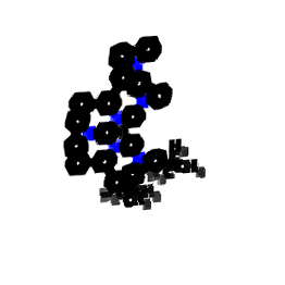 CC(C)(C)c1ccc2c(c1)c1cc(C(C)(C)C)ccc1n2-c1ccc2c(c1)N(c1cc(-c3ccccc3)cc(-c3ccccc3)c1)c1cc(-n3c4ccccc4c4ccccc43)cc3c1B2c1ccc(-n2c4ccccc4c4cc(-n5c6ccccc6c6ccccc65)ccc42)cc1N3c1cc(-c2ccccc2)cc(-c2ccccc2)c1